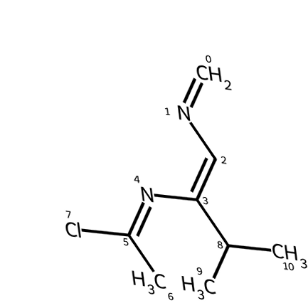 C=N/C=C(\N=C(/C)Cl)C(C)C